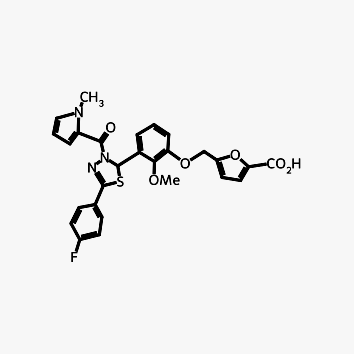 COc1c(OCc2ccc(C(=O)O)o2)cccc1C1SC(c2ccc(F)cc2)=NN1C(=O)c1cccn1C